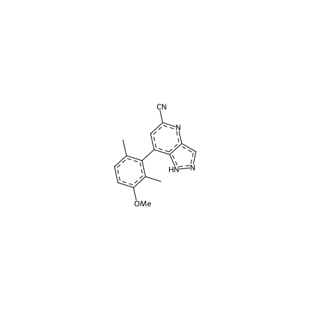 COc1ccc(C)c(-c2cc(C#N)nc3cn[nH]c23)c1C